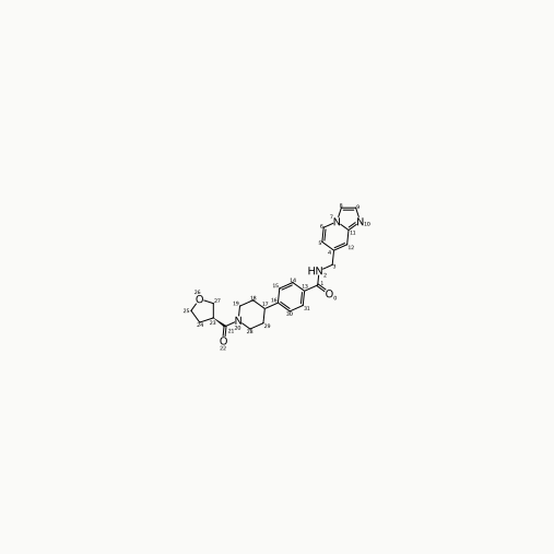 O=C(NCc1ccn2ccnc2c1)c1ccc(C2CCN(C(=O)[C@H]3CCOC3)CC2)cc1